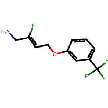 NCC(F)=CCOc1cccc(C(F)(F)F)c1